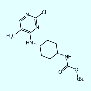 Cc1cnc(Cl)nc1N[C@H]1CC[C@@H](NC(=O)OC(C)(C)C)CC1